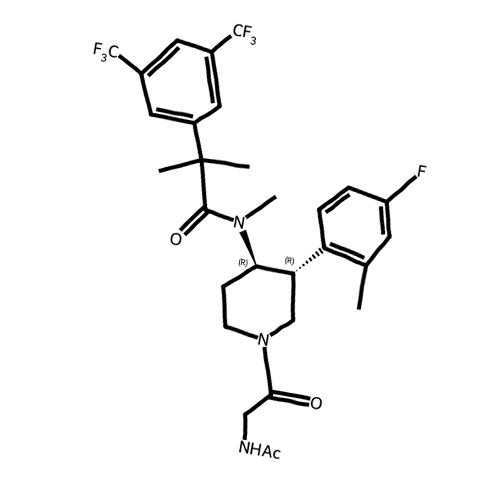 CC(=O)NCC(=O)N1CC[C@@H](N(C)C(=O)C(C)(C)c2cc(C(F)(F)F)cc(C(F)(F)F)c2)[C@H](c2ccc(F)cc2C)C1